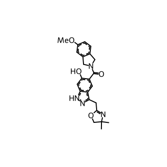 COc1ccc2c(c1)CN(C(=O)c1cc3c(CC4=NC(C)(C)CO4)n[nH]c3cc1O)C2